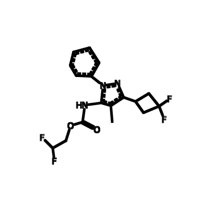 Cc1c(C2CC(F)(F)C2)nn(-c2ccccc2)c1NC(=O)OCC(F)F